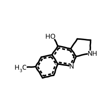 Cc1ccc2nc3c(c(O)c2c1)CCN3